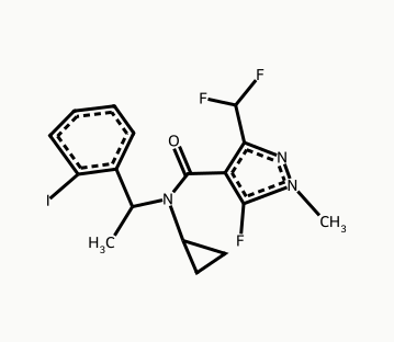 CC(c1ccccc1I)N(C(=O)c1c(C(F)F)nn(C)c1F)C1CC1